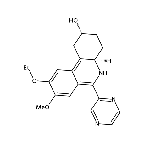 CCOc1cc2c(cc1OC)=C(c1cnccn1)N[C@@H]1CC[C@@H](O)CC=21